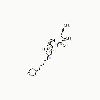 CC#CC[C@@H](C)[C@H](O)/C=C/[C@@H]1[C@H]2C/C(=C/CCCCN3CCOCC3)C[C@H]2C[C@H]1O